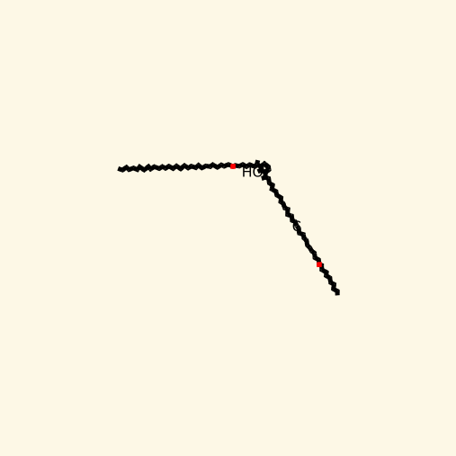 CCCCCCCCCCCCCCCCCCCCCCCCCCCCCCCCCCCCCCC(C)c1cccc(C(C)CCCCCCCCCCCCCCCCCCCCCCCCCCCCCCCCCCCCCC)c1O